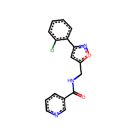 O=C(NCc1cc(-c2ccccc2Cl)no1)c1cccnc1